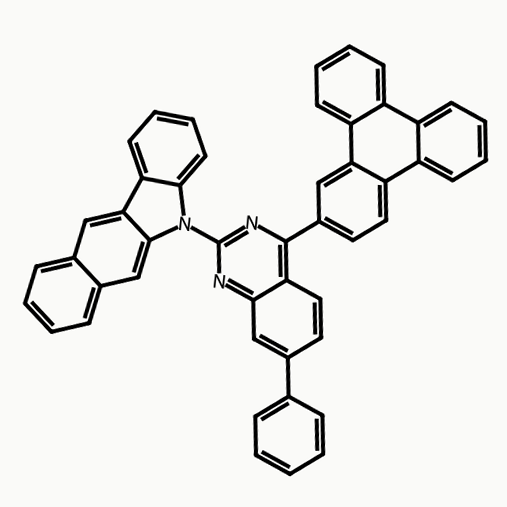 c1ccc(-c2ccc3c(-c4ccc5c6ccccc6c6ccccc6c5c4)nc(-n4c5ccccc5c5cc6ccccc6cc54)nc3c2)cc1